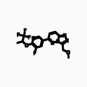 COCc1nnc2ccc(-c3cnc(OC(C)C(F)(F)F)c(F)c3)nn12